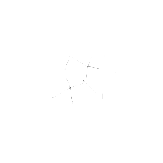 CC1(C)COC(C)(Cl)N1Cl